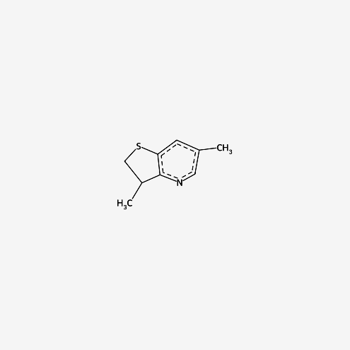 Cc1cnc2c(c1)SCC2C